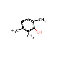 [CH2]c1ccc(C)c(O)c1C